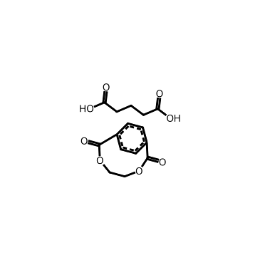 O=C(O)CCCC(=O)O.O=C1OCCOC(=O)c2ccc1cc2